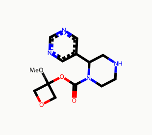 COC1(OC(=O)N2CCNCC2c2cncnc2)COC1